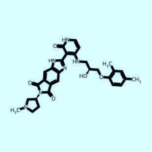 Cc1ccc(OC[C@@H](O)CNc2cc[nH]c(=O)c2-c2nc3cc4c(cc3[nH]2)C(=O)N([C@H]2CCN(C)C2)C4=O)c(C)c1